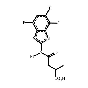 CCN(C(=O)CC(C)C(=O)O)c1nc2c(F)c(F)cc(F)c2s1